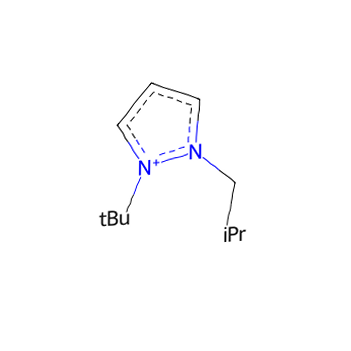 CC(C)Cn1ccc[n+]1C(C)(C)C